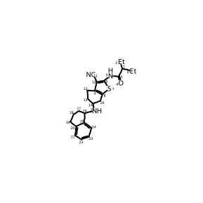 CCC(CC)C(=O)Nc1sc2c(c1C#N)CCC(NC1CCCc3ccccc31)C2